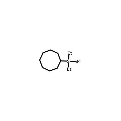 CC[Si](CC)(C(C)C)C1CCCCCCC1